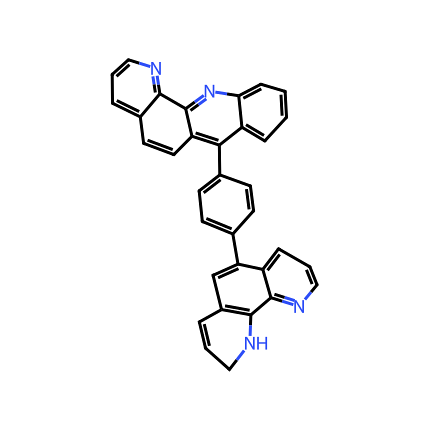 C1=Cc2cc(-c3ccc(-c4c5ccccc5nc5c4ccc4cccnc45)cc3)c3cccnc3c2NC1